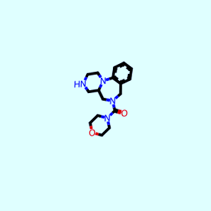 O=C(N1CCOCC1)N1Cc2ccccc2N2CCNCC2C1